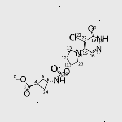 COC(=O)[C@H]1C[C@H](NC(=O)O[C@@H]2CCN(c3cn[nH]c(=O)c3Cl)C2)C1